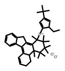 CCC1C=C(C(C)(C)C)C=[C]1[Zr+2][C]1(C)C2=C3Cc4ccccc4C3=C3C=CCCC3C2(C)C(C)(C)C(C)(C)C1(C)C.[Cl-].[Cl-]